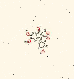 COc1ccc(-c2c3c(c(OC)c4cc(OC)c(OC)cc24)COC3=O)cc1